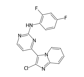 Fc1ccc(Nc2nccc(-c3c(Cl)nc4ccccn34)n2)c(F)c1